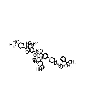 CC(C)c1ccccc1[C@H]1CCCN1C1CC2(CCN(c3ccc(C(=O)NS(=O)(=O)c4cc5c(c([N+](=O)[O-])c4)N[C@@H]([C@H]4CC[C@](C)(O)CC4)CO5)c(Oc4cc5cc[nH]c5nc4N4CCC4)c3)CC2)C1